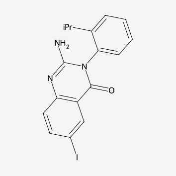 CC(C)c1ccccc1-n1c(N)nc2ccc(I)cc2c1=O